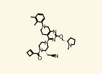 Cc1cccc(N2CCc3c(nc(OC[C@@H]4CCCN4C)nc3N3CCN(C(=O)C4=CCC4)[C@@H](CC#N)C3)C2)c1C